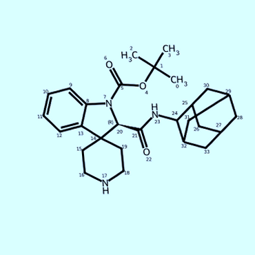 CC(C)(C)OC(=O)N1c2ccccc2C2(CCNCC2)[C@@H]1C(=O)NC1C2CC3CC(C2)CC1C3